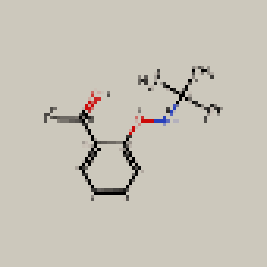 CCCC(C)(C)NOc1ccccc1C(=O)CC